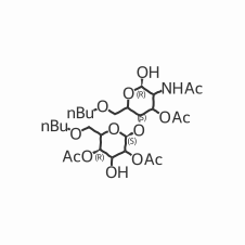 CCCCOCC1O[C@@H](O)C(NC(C)=O)C(OC(C)=O)[C@@H]1O[C@@H]1OC(COCCCC)[C@H](OC(C)=O)C(O)C1OC(C)=O